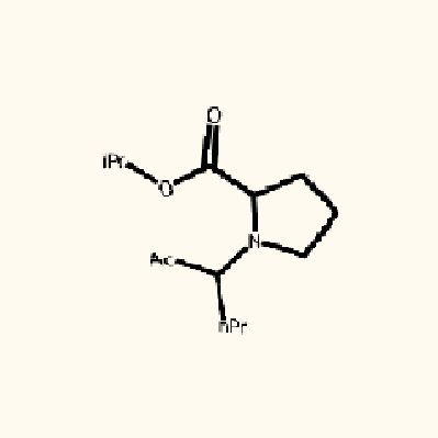 CCCC(C(C)=O)N1CCCC1C(=O)OC(C)C